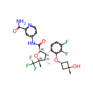 C[C@H]1[C@@H](c2ccc(F)c(F)c2O[C@H]2C[C@](C)(O)C2)[C@H](C(=O)Nc2ccnc(C(N)=O)c2)O[C@@]1(C)C(F)(F)F